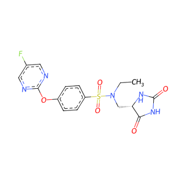 CCN(C[C@@H]1NC(=O)NC1=O)S(=O)(=O)c1ccc(Oc2ncc(F)cn2)cc1